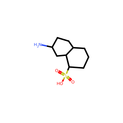 NC1CCC2CCCC(S(=O)(=O)O)C2C1